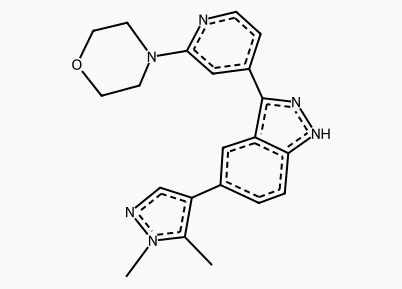 Cc1c(-c2ccc3[nH]nc(-c4ccnc(N5CCOCC5)c4)c3c2)cnn1C